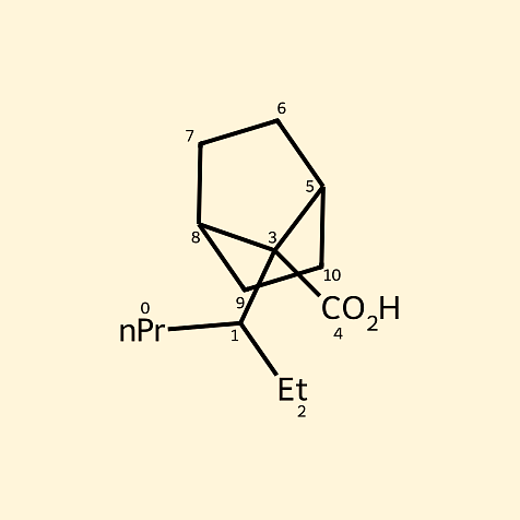 CCCC(CC)C1(C(=O)O)C2CCC1CC2